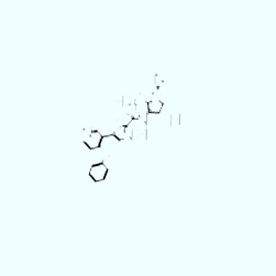 CC1CN(C#N)C(C)[C@@H]1NC(=O)c1ncc(-c2cnccc2Sc2ccccc2)s1